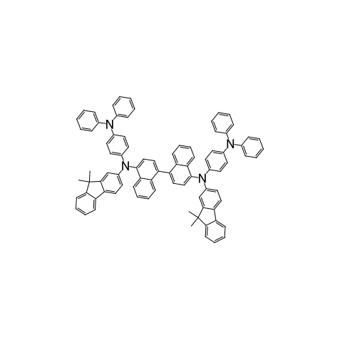 CC1(C)c2ccccc2-c2ccc(N(c3ccc(N(c4ccccc4)c4ccccc4)cc3)c3ccc(-c4ccc(N(c5ccc(N(c6ccccc6)c6ccccc6)cc5)c5ccc6c(c5)C(C)(C)c5ccccc5-6)c5ccccc45)c4ccccc34)cc21